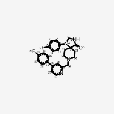 O=C1NCN(c2ccc(F)cc2)C12CCN(Cc1cc(-c3ccc(F)cc3)ccn1)CC2